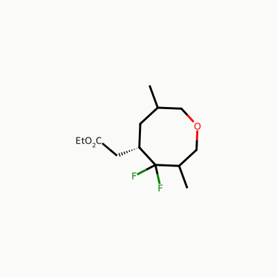 CCOC(=O)C[C@@H]1CC(C)COCC(C)C1(F)F